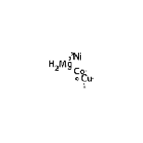 [Co].[Cu].[MgH2].[Ni]